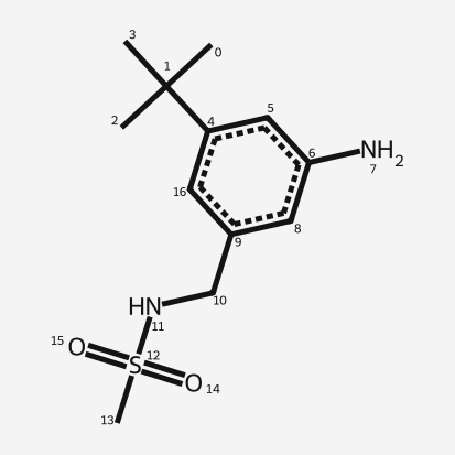 CC(C)(C)c1cc(N)cc(CNS(C)(=O)=O)c1